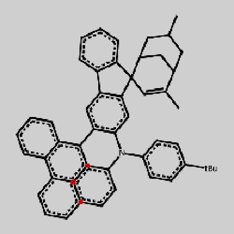 CC1=CC2(c3ccccc3-c3cc(-c4cc5ccccc5c5ccccc45)c(N(c4ccccc4)c4ccc(C(C)(C)C)cc4)cc32)C2CC(C)CC1C2